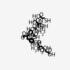 CC(N)C(=O)O.NC(CC(=O)O)C(=O)O.NC(CO)C(=O)O.NC(CS)C(=O)O.NC(Cc1ccc(O)cc1)C(=O)O.NCC(=O)O.O=C(O)[C@@H]1CCCN1